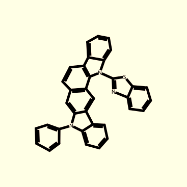 c1ccc(-n2c3ccccc3c3cc4c(ccc5c6ccccc6n(-c6nc7ccccc7s6)c45)cc32)cc1